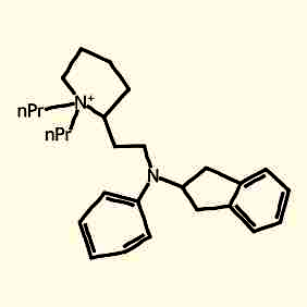 CCC[N+]1(CCC)CCCCC1CCN(c1ccccc1)C1Cc2ccccc2C1